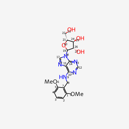 COc1cccc(OC)c1CNc1ncnc2c1ncn2C1O[C@H](CO)[C@@H](O)[C@@H]1O